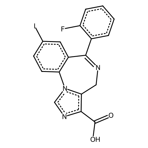 O=C(O)c1ncn2c1CN=C(c1ccccc1F)c1cc(I)ccc1-2